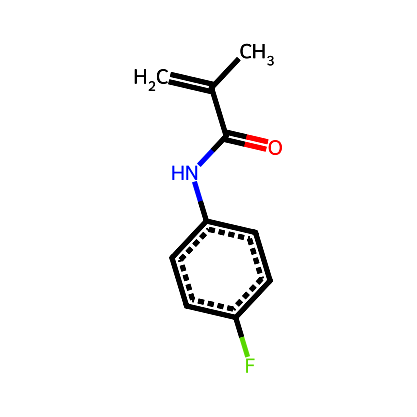 C=C(C)C(=O)Nc1ccc(F)cc1